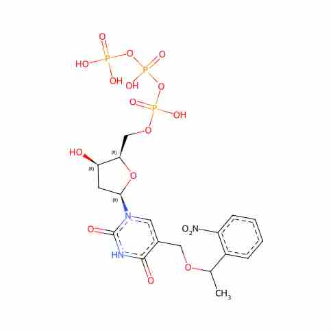 CC(OCc1cn([C@H]2C[C@@H](O)[C@@H](COP(=O)(O)OP(=O)(O)OP(=O)(O)O)O2)c(=O)[nH]c1=O)c1ccccc1[N+](=O)[O-]